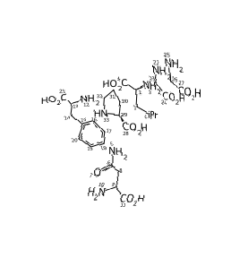 CC(C)CC(N)C(=O)O.NC(=O)CC(N)C(=O)O.NC(Cc1ccccc1)C(=O)O.NCC(=O)O.NCC(=O)O.O=C(O)[C@@H]1CCCN1